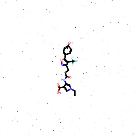 CCn1cc(NC(=O)CCc2noc(-c3ccc(O)cc3)c2C(F)(F)F)c(C(=O)O)c1